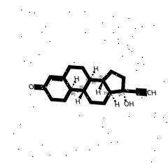 C#C[C@]1(O)CC[C@H]2[C@@H]3CCC4=CC(=O)CC[C@@H]4[C@H]3CC[C@@H]21